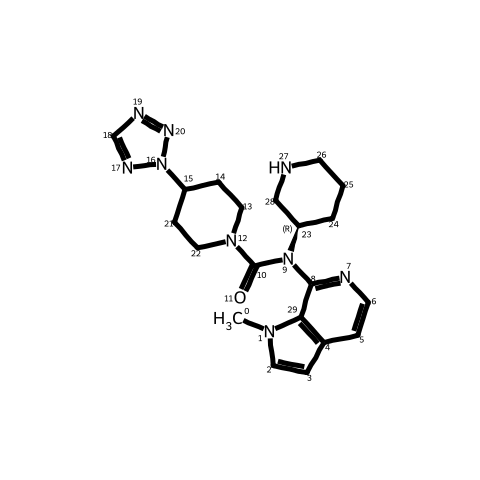 Cn1ccc2ccnc(N(C(=O)N3CCC(n4ncnn4)CC3)[C@@H]3CCCNC3)c21